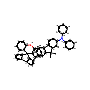 CC1(C)c2cc(-c3cccc4c3C3(c5ccccc5Oc5ccccc53)c3ccccc3-4)ccc2-c2ccc(N(c3ccccc3)c3ccccc3)cc21